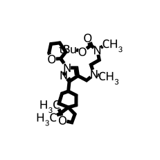 CN(CCN(C)C(=O)OC(C)(C)C)Cc1cn(C2CCCCO2)nc1C1CCC2(CCOC2(C)C)CC1